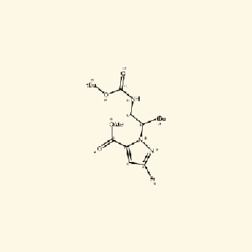 COC(=O)c1cc(Br)nn1C(CNC(=O)OC(C)(C)C)C(C)(C)C